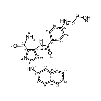 NC(=O)c1nc(Nc2ccc3ccccc3c2)sc1NC(=O)c1ccc(NCCO)cc1